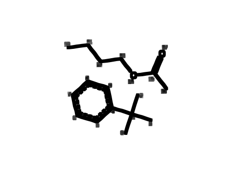 CC(C)(C)c1ccccc1.CCCCOC(C)=O